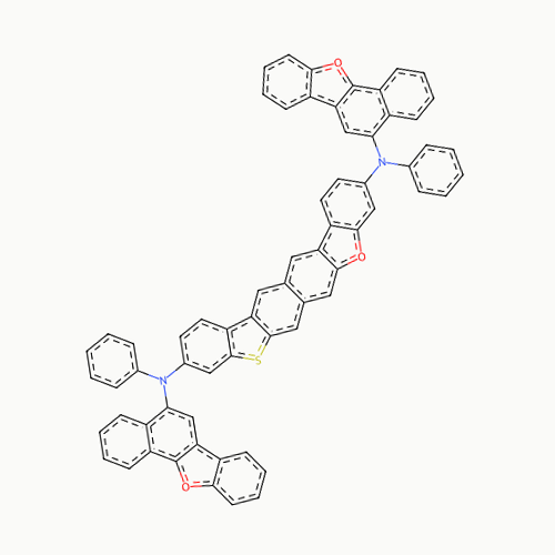 c1ccc(N(c2ccc3c(c2)oc2cc4cc5sc6cc(N(c7ccccc7)c7cc8c9ccccc9oc8c8ccccc78)ccc6c5cc4cc23)c2cc3c4ccccc4oc3c3ccccc23)cc1